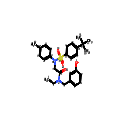 CCN(Cc1cccc(O)c1)C(=O)CN(c1ccc(C)cc1)S(=O)(=O)c1ccc(C(C)(C)C)cc1